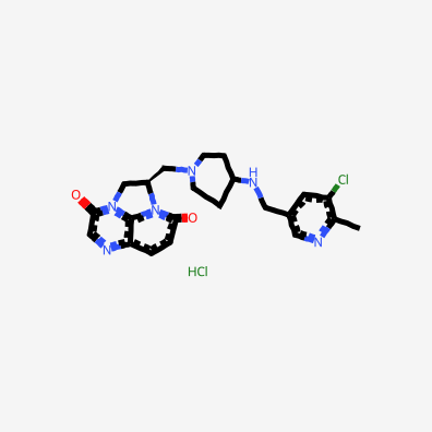 Cc1ncc(CNC2CCN(C[C@@H]3Cn4c(=O)cnc5ccc(=O)n3c54)CC2)cc1Cl.Cl